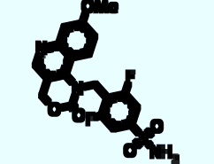 COc1ccc2c3c(cnc2c1)COC(=O)N3Cc1c(F)cc(S(N)(=O)=O)cc1F